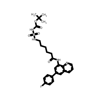 CC(C)(C)OC(=O)NS(=O)(=O)NCCCCCC(=O)Nc1cc(-c2ccc(F)cc2)cc2cccnc12